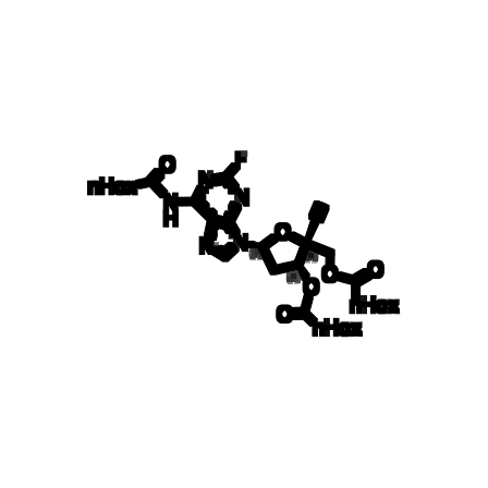 C#C[C@]1(COC(=O)CCCCCC)O[C@@H](n2cnc3c(NC(=O)CCCCCC)nc(F)nc32)C[C@@H]1OC(=O)CCCCCC